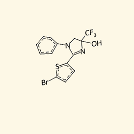 OC1(C(F)(F)F)CN(c2ccccc2)C(c2ccc(Br)s2)=N1